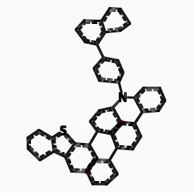 c1ccc(-c2ccc(-c3ccccc3N(c3ccc(-c4cccc5ccccc45)cc3)c3ccc(-c4cccc5c4sc4ccccc45)cc3)cc2)cc1